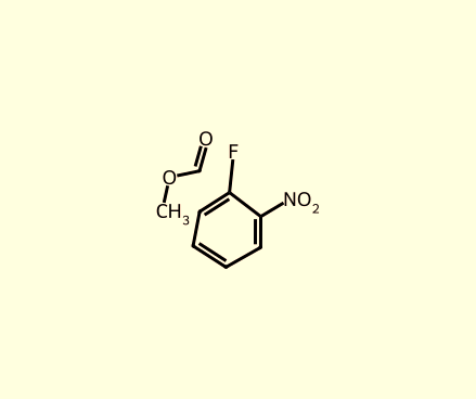 COC=O.O=[N+]([O-])c1ccccc1F